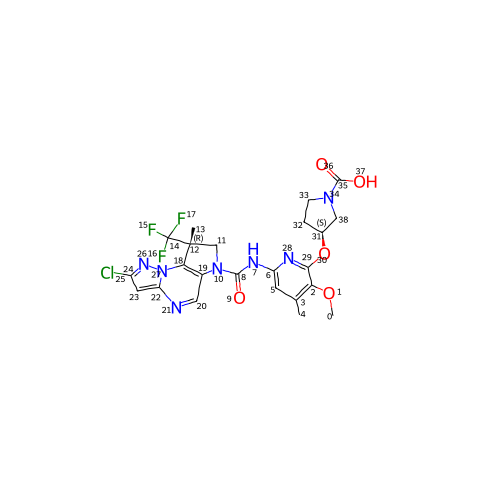 COc1c(C)cc(NC(=O)N2C[C@@](C)(C(F)(F)F)c3c2cnc2cc(Cl)nn32)nc1O[C@H]1CCN(C(=O)O)C1